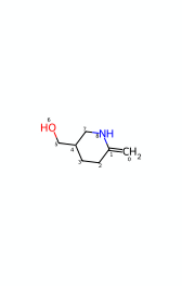 C=C1CCC(CO)CN1